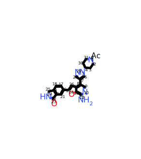 CC(=O)N1CCC(n2cc(-c3cnc(N)c4oc(-c5ccc6c(c5)C(=O)NC6)cc34)cn2)CC1